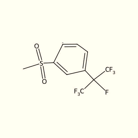 CS(=O)(=O)c1[c]ccc(C(F)(C(F)(F)F)C(F)(F)F)c1